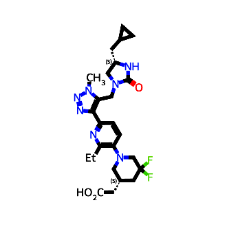 CCc1nc(-c2nnn(C)c2CN2C[C@H](CC3CC3)NC2=O)ccc1N1C[C@@H](CC(=O)O)CC(F)(F)C1